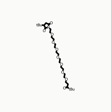 CC(C)(C)C(=O)CCOCCOCCOCCOCCOCCOCCOCCN1C(=O)CC(C(C)(C)C)C1=O